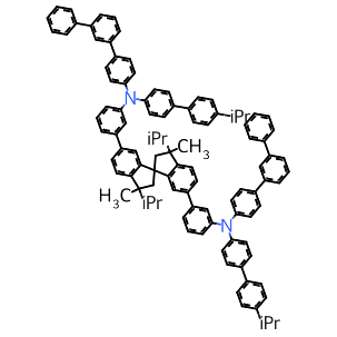 CC(C)c1ccc(-c2ccc(N(c3ccc(-c4cccc(-c5ccccc5)c4)cc3)c3cccc(-c4ccc5c(c4)C4(CC5(C)C(C)C)CC(C)(C(C)C)c5ccc(-c6cccc(N(c7ccc(-c8ccc(C(C)C)cc8)cc7)c7ccc(-c8cccc(-c9ccccc9)c8)cc7)c6)cc54)c3)cc2)cc1